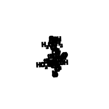 CN(C(=O)O)[C@H](C(=O)N[C@H](Cc1ccc(-c2ccccn2)cc1)C[C@H](O)[C@H](Cc1ccccc1)NC(=O)[C@@H](N1CCN(Cc2cccc(C(C)(C)OP(=O)(O)O)n2)C1=O)C(C)(C)C)C(C)(C)C